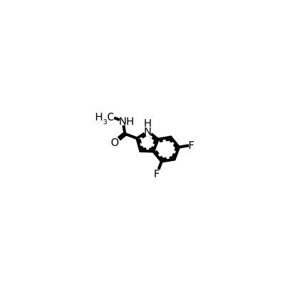 CNC(=O)c1cc2c(F)cc(F)cc2[nH]1